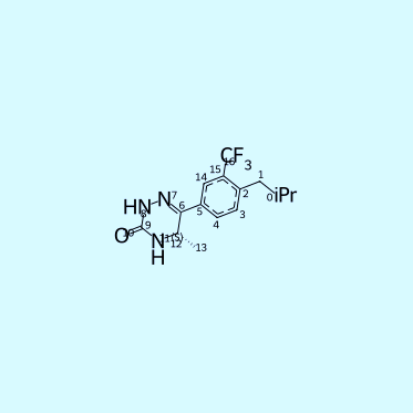 CC(C)Cc1ccc(C2=NNC(=O)N[C@H]2C)cc1C(F)(F)F